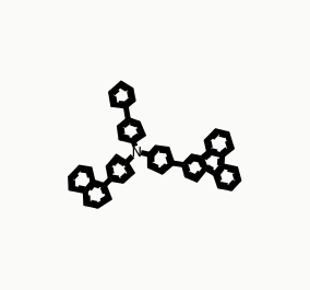 c1ccc(-c2ccc(N(c3ccc(-c4ccc5c6ccccc6c6ccccc6c5c4)cc3)c3ccc(-c4cccc5ccccc45)cc3)cc2)cc1